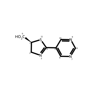 O=C(O)[C@@H]1CN=C(c2cncnc2)S1